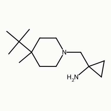 CC(C)(C)C1(C)CCN(CC2(N)CC2)CC1